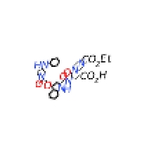 CCOC(=O)N1CCN(C(=O)C(CCC(=O)O)NC(=O)c2cc(OCC(=O)N3CCC(Nc4ccccc4)C3)c3ccccc3n2)CC1